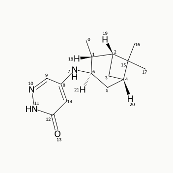 C[C@@H]1[C@H]2C[C@@H](C[C@H]1Nc1cn[nH]c(=O)c1)C2(C)C